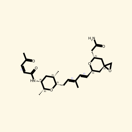 CC(=O)/C=C\C(=O)N[C@@H]1C[C@H](C)[C@H](C/C=C(C)/C=C/[C@@H]2C[C@]3(CO3)C[C@@H](CC(N)=O)O2)O[C@@H]1C